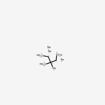 O=C(O)CC(O)(CC(=O)O)C(=O)O.[Na].[Na].[Na]